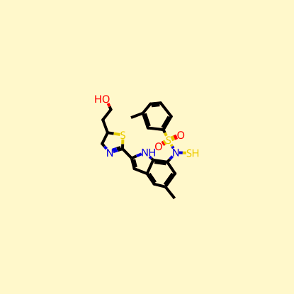 Cc1cccc(S(=O)(=O)N(S)c2cc(C)cc3cc(C4=NCC(CCO)S4)[nH]c23)c1